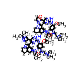 C=CC(=O)Nc1cc(Nc2ncc(-c3cnn(C(C)C)c3)c(-c3cn4c5c(cccc35)CCC4)n2)c(OC)cc1N(C)CCN(C)C.C=CC(=O)Nc1cc(Nc2ncc(-c3ncco3)c(-c3cn4c5c(cccc35)CCC4)n2)c(OC)cc1N(C)CCN(C)C